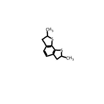 CC1Cc2ccc3c(c2S1)SC(C)C3